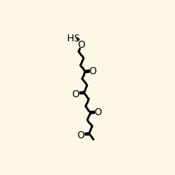 CC(=O)CCC(=O)CCC(=O)CCC(=O)CCCOS